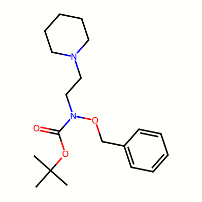 CC(C)(C)OC(=O)N(CCN1CCCCC1)OCc1ccccc1